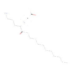 CCCCCCCCCCCC(=O)C(CCCN)[N+](C)(C)C(C)(C)C(=O)[O-]